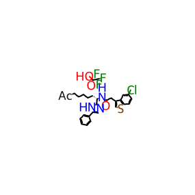 CC(=O)CCCCC[C@H](NC(=O)Cc1csc2ccc(Cl)cc12)c1ncc(-c2ccccc2)[nH]1.O=C(O)C(F)(F)F